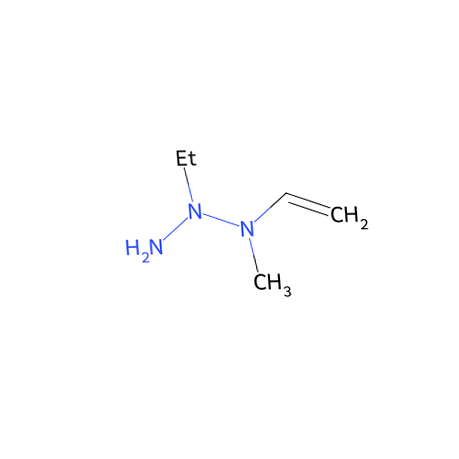 C=CN(C)N(N)CC